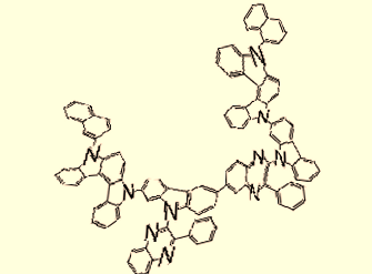 c1ccc(-c2nc3ccccc3nc2-n2c3ccc(-c4ccc5nc(-n6c7ccccc7c7ccc(-n8c9ccccc9c9c%10c%11ccccc%11n(-c%11cccc%12ccccc%11%12)c%10ccc98)cc76)c(-c6ccccc6)nc5c4)cc3c3ccc(-n4c5ccccc5c5c6c7ccccc7n(-c7ccc8ccccc8c7)c6ccc54)cc32)cc1